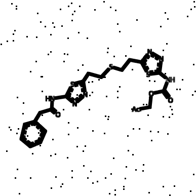 CC(=O)COC(=O)Nc1nnc(CCSCCc2nnc(NC(=O)Cc3ccccc3)s2)s1